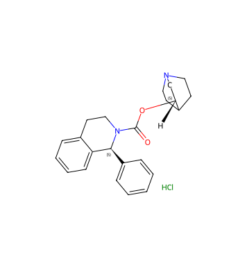 Cl.O=C(O[C@@H]1CN2CCC1CC2)N1CCc2ccccc2[C@@H]1c1ccccc1